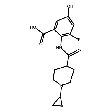 O=C(O)c1cc(O)cc(F)c1NC(=O)C1CCN(C2CC2)CC1